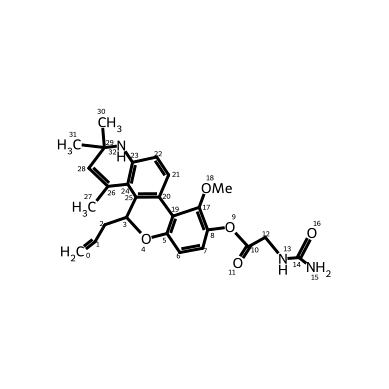 C=CCC1Oc2ccc(OC(=O)CNC(N)=O)c(OC)c2-c2ccc3c(c21)C(C)=CC(C)(C)N3